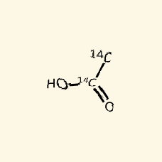 [14CH3][14C](=O)O